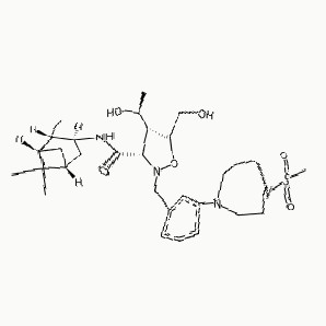 C[C@@H]1[C@@H](NC(=O)[C@@H]2[C@H]([C@H](C)O)C(CO)ON2Cc2cccc(N3CCN(S(C)(=O)=O)CC3)c2)C[C@H]2C[C@@H]1C2(C)C